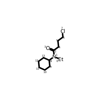 CCN(C(=O)CCCCl)C1CCCCC1